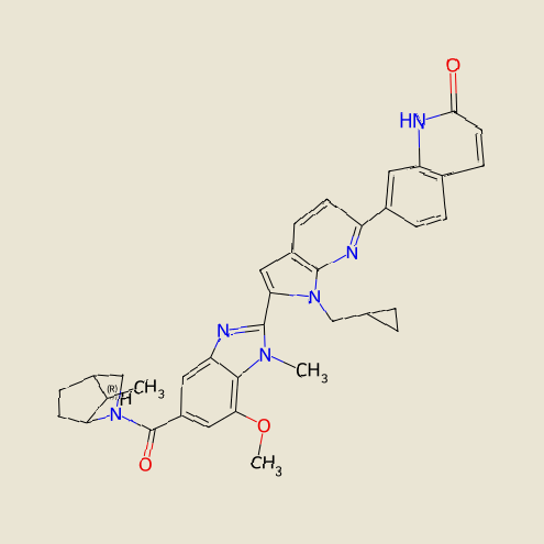 COc1cc(C(=O)N2CC3CCC2[C@@H]3C)cc2nc(-c3cc4ccc(-c5ccc6ccc(=O)[nH]c6c5)nc4n3CC3CC3)n(C)c12